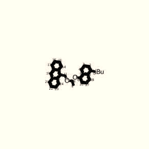 CCC(C)c1cccc2c(OC(C)OCc3c4ccccc4cc4ccccc34)cccc12